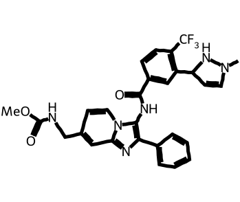 COC(=O)NCc1ccn2c(NC(=O)c3ccc(C(F)(F)F)c(C4C=CN(C)N4)c3)c(-c3ccccc3)nc2c1